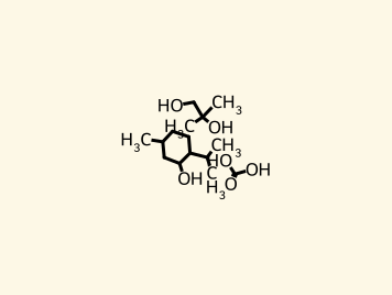 CC(C)(O)CO.CC1CCC(C(C)C)C(O)C1.O=C(O)O